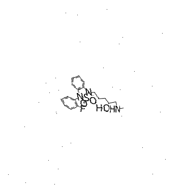 CNC[C@H](O)CCCN1c2ccccc2N(c2ccccc2F)S1(=O)=O